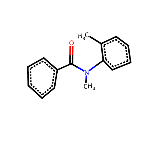 Cc1ccccc1N(C)C(=O)c1ccccc1